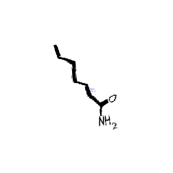 C=CCC/C=C/C(N)=O